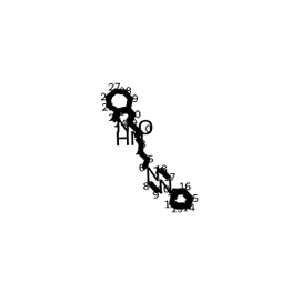 O=C(NCCCCN1CCN(c2ccccc2)CC1)c1cc2c(cn1)CCCCC2